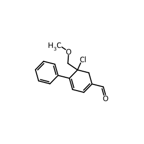 COCC1(Cl)CC(C=O)=CC=C1c1ccccc1